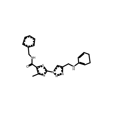 Cc1nc(-n2cc(CNC3=CCCC=C3)nn2)sc1C(=O)NCc1ccccc1